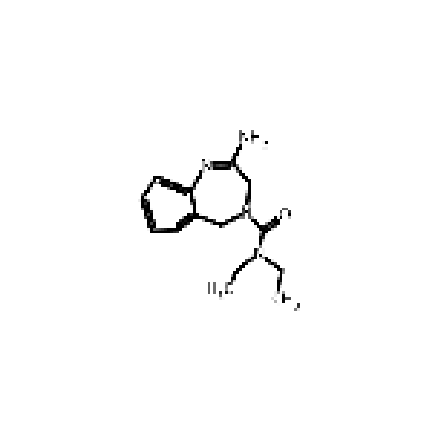 CCN(CC)C(=O)N1CC(N)=Nc2ccccc2C1